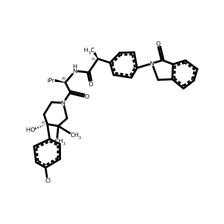 CC(C)[C@@H](NC(=O)[C@@H](C)c1ccc(N2Cc3ccccc3C2=O)cc1)C(=O)N1CC[C@](O)(c2ccc(Cl)cc2)C(C)(C)C1